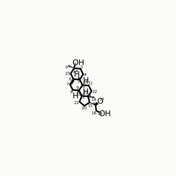 C[C@@]1(O)CC[C@H]2C(=CC[C@@H]3[C@@H]2CC[C@]2(C)[C@@H](C(=O)CO)CC[C@@H]32)C1